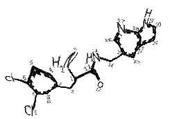 NC(Cc1ccc(Cl)c(Cl)c1)C(=O)NCc1cnc2[nH]ccc2c1